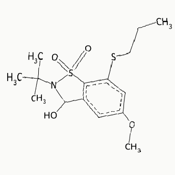 CCCSc1cc(OC)cc2c1S(=O)(=O)N(C(C)(C)C)C2O